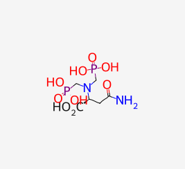 NC(=O)C[C@@H](C(=O)O)N(CP(=O)(O)O)CP(=O)(O)O